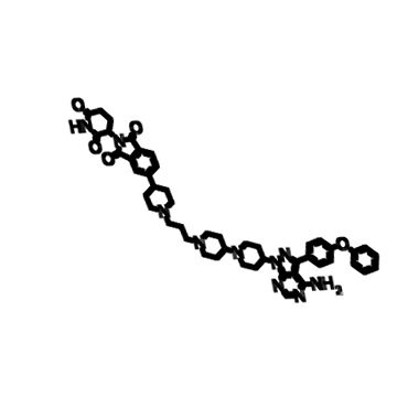 Nc1ncnc2c1c(-c1ccc(Oc3ccccc3)cc1)nn2C1CCN(C2CCN(CCCN3CCC(c4ccc5c(c4)C(=O)N(C4CCC(=O)NC4=O)C5=O)CC3)CC2)CC1